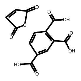 O=C(O)c1ccc(C(=O)O)c(C(=O)O)c1.O=C1C=CC(=O)O1